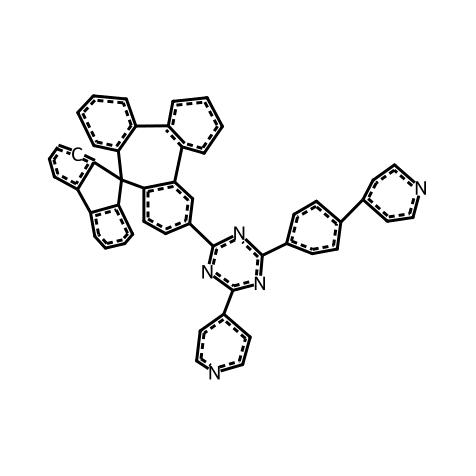 c1ccc2c(c1)-c1ccccc1C1(c3ccc(-c4nc(-c5ccncc5)nc(-c5ccc(-c6ccncc6)cc5)n4)cc3-2)c2ccccc2-c2ccccc21